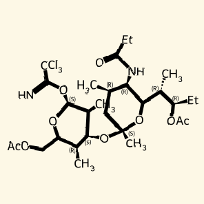 CCC(=O)N[C@H]1C([C@H](C)[C@@H](CC)OC(C)=O)O[C@](C)(O[C@@H]2C(C)[C@H](OC(=N)C(Cl)(Cl)Cl)OC(COC(C)=O)[C@@H]2C)C[C@H]1C